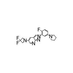 Fc1ccc(N2CCCC2)cc1-n1cc2cc(N3CC(F)(F)C3)cnc2n1